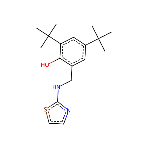 CC(C)(C)c1cc(CNc2nccs2)c(O)c(C(C)(C)C)c1